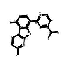 Cc1ccc2c(n1)oc1c(-c3cc(C(C)C)ccn3)ccc(C)c12